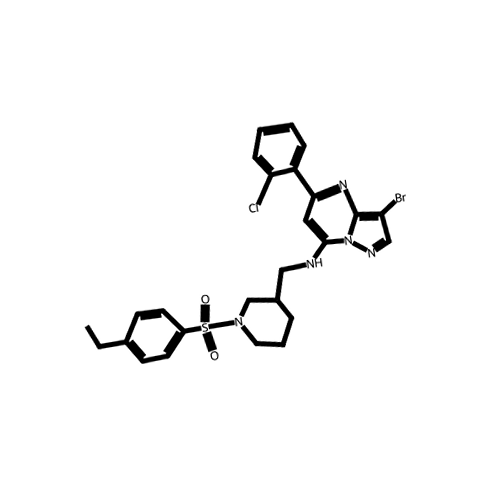 CCc1ccc(S(=O)(=O)N2CCCC(CNc3cc(-c4ccccc4Cl)nc4c(Br)cnn34)C2)cc1